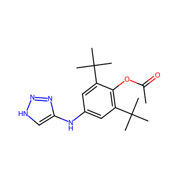 CC(=O)Oc1c(C(C)(C)C)cc(Nc2c[nH]nn2)cc1C(C)(C)C